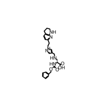 O=C(N[C@@H](CNCc1cnn(CCc2ccc3c(n2)NCCC3)c1)C(=O)O)OCc1ccccc1